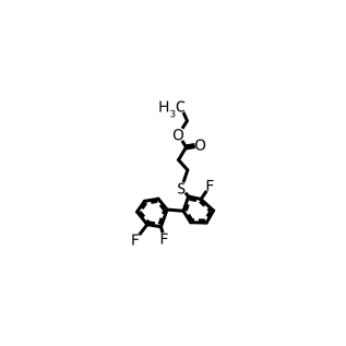 CCOC(=O)CCSc1c(F)cccc1-c1cccc(F)c1F